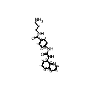 NCCCNC(=O)c1ccc(NC(=O)Nc2cccc3cccnc23)cc1